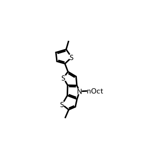 CCCCCCCCn1c2cc(C)sc2c2sc(-c3ccc(C)s3)cc21